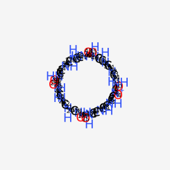 O=C1C[N+](=O)CCNCCNCCNC(=O)C(=O)NCCNCCNCCNC(=O)C(=O)NCCNCCNCCNC(=O)C(=O)NCCNCCNCCN1